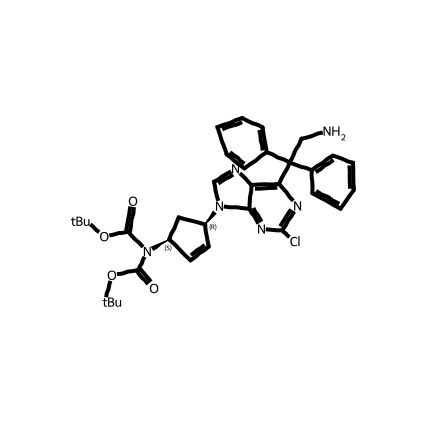 CC(C)(C)OC(=O)N(C(=O)OC(C)(C)C)[C@@H]1C=C[C@H](n2cnc3c(C(CN)(c4ccccc4)c4ccccc4)nc(Cl)nc32)C1